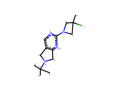 CC1(F)CN(c2ncc3c(n2)CN(C(C)(C)C)C3)C1